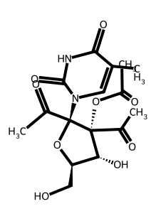 CC(=O)O[C@]1(C(C)=O)[C@H](O)[C@@H](CO)O[C@@]1(C(C)=O)n1cc(C)c(=O)[nH]c1=O